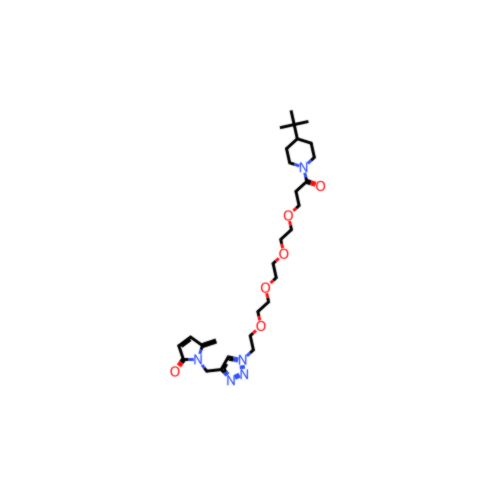 C=C1C=CC(=O)N1Cc1cn(CCOCCOCCOCCOCCC(=O)N2CCC(C(C)(C)C)CC2)nn1